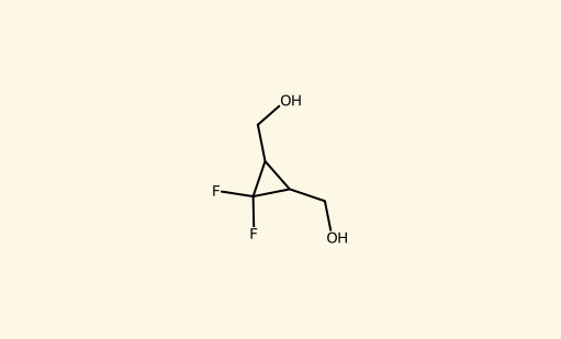 OCC1C(CO)C1(F)F